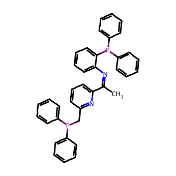 CC(=Nc1ccccc1P(c1ccccc1)c1ccccc1)c1cccc(CP(c2ccccc2)c2ccccc2)n1